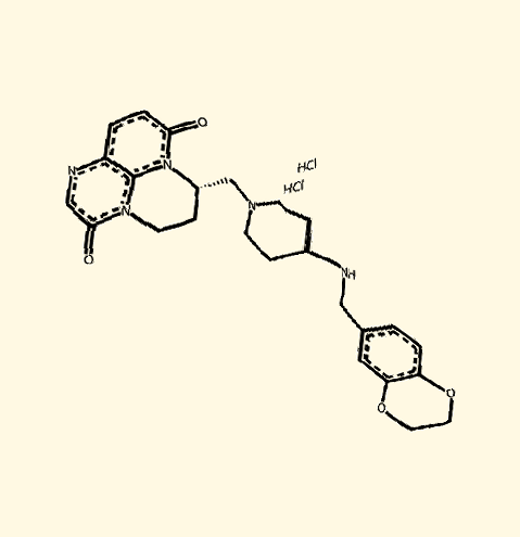 Cl.Cl.O=c1cnc2ccc(=O)n3c2n1CC[C@H]3CN1CCC(NCc2ccc3c(c2)OCCO3)CC1